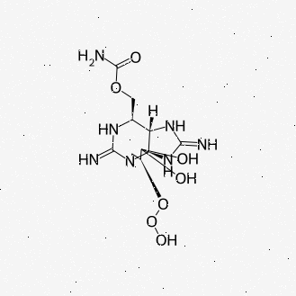 N=C1N[C@H]2[C@H](COC(N)=O)NC(=N)N3C[C@H](OOO)C(O)(O)[C@]23N1